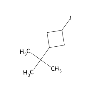 CC(C)(C)C1CC(I)C1